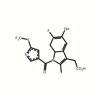 CC1=C(CC(=O)O)C2=CC(O)=C(F)CC2N1C(=O)c1csc(SC(F)(F)F)c1